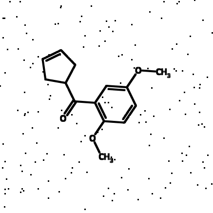 COc1ccc(OC)c(C(=O)C2CC=CC2)c1